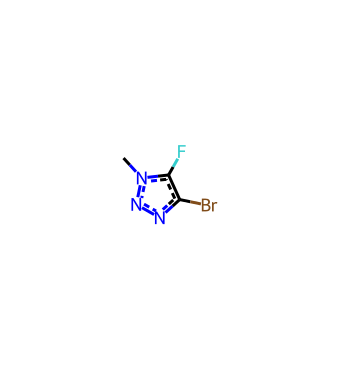 Cn1nnc(Br)c1F